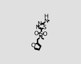 CNc1nnc(S(=O)(=O)N(C)Cc2ccco2)s1